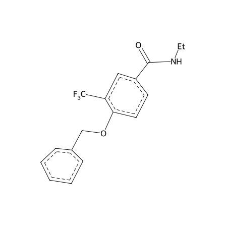 CCNC(=O)c1ccc(OCc2ccccc2)c(C(F)(F)F)c1